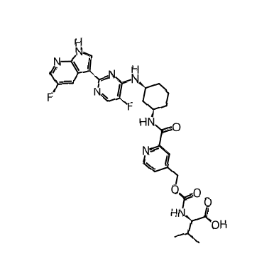 CC(C)[C@@H](NC(=O)OCc1ccnc(C(=O)N[C@@H]2CCC[C@H](Nc3nc(-c4c[nH]c5ncc(F)cc45)ncc3F)C2)c1)C(=O)O